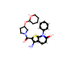 Nc1c(C(=O)N2CC[C@@H](OC3CCCCO3)C2)sc2c1ccc(=O)n2-c1ccccc1